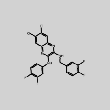 Fc1ccc(CNc2nc3cc(Cl)c(Cl)cc3nc2Nc2ccc(F)c(F)c2)cc1F